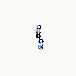 O=C1c2ccc(C3CCN(Cc4cscn4)CC3)cc2CN1C1CCCNC1